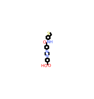 O=C(O)c1ccc(N2CCN(c3ccc(C(=O)Nc4ccc5sccc5c4)cc3)CC2)cc1